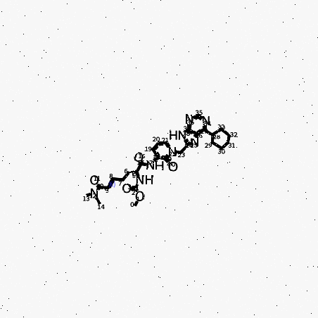 COC(=O)N[C@@H](CC/C=C/C(=O)N(C)C)C(=O)Nc1cccn(Cc2nc3c(C4CCCCC4)ncnc3[nH]2)c1=O